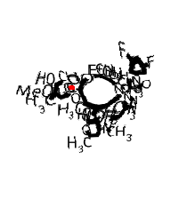 CC[C@H]1OC(=O)[C@H](C)[C@@H](O[C@H]2C[C@@](C)(OC)[C@@H](O)[C@H](C)O2)[C@H](C)[C@@H](O[C@@H]2O[C@H](C)C[C@H](N(C)CCc3cn(C[C@H]4CN(c5cc(F)cc(F)c5)C(=O)O4)nn3)[C@H]2O)[C@](C)(O)C[C@@H](C)CN(C)[C@H](C)[C@@H](O)[C@]1(C)O